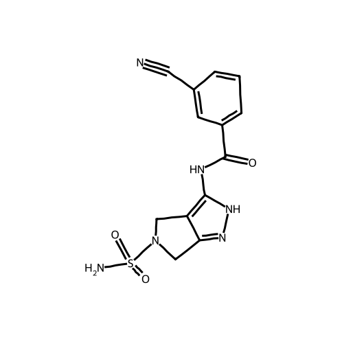 N#Cc1cccc(C(=O)Nc2[nH]nc3c2CN(S(N)(=O)=O)C3)c1